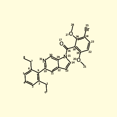 CCc1cccc(CC)c1-c1cc2ccn(C(=O)c3c(OC)ccc(Br)c3OC)c2cn1